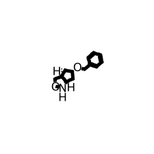 [C]1[C@@H](OCc2ccccc2)C[C@@H]2NOC[C@H]12